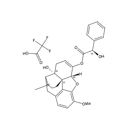 COc1ccc2c3c1O[C@H]1C(OC(=O)[C@H](O)c4ccccc4)=CC[C@]4(O)C(C2)N(C)CC[C@]314.O=C(O)C(F)(F)F